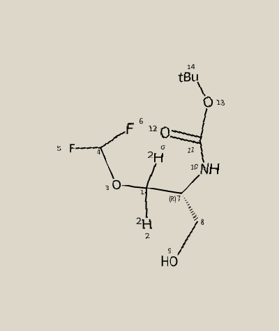 [2H]C([2H])(OC(F)F)[C@@H](CO)NC(=O)OC(C)(C)C